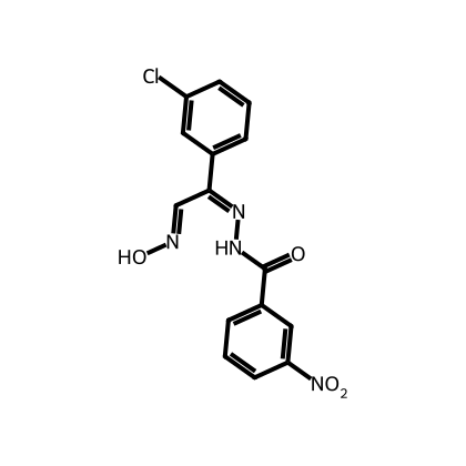 O=C(NN=C(C=NO)c1cccc(Cl)c1)c1cccc([N+](=O)[O-])c1